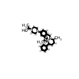 COc1cc(N2CCN(C(C)O)CC2)ccc1CN1[C@@H](C)CCC(c2ccccc2)S1(=O)=O